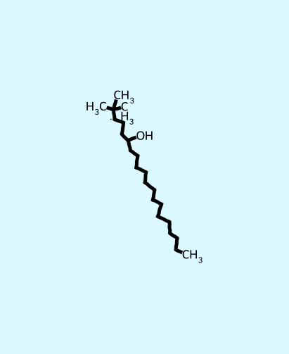 CCCCCCCCCCCCCCC(O)CC[CH]C(C)(C)C